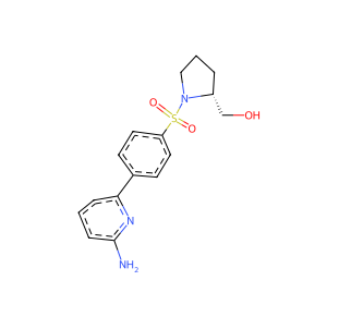 Nc1cccc(-c2ccc(S(=O)(=O)N3CCC[C@@H]3CO)cc2)n1